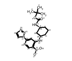 CC(C)(C)OC(=O)N[C@H]1CCC[C@@H](Nc2cc(-n3ccnn3)ncc2[N+](=O)[O-])C1